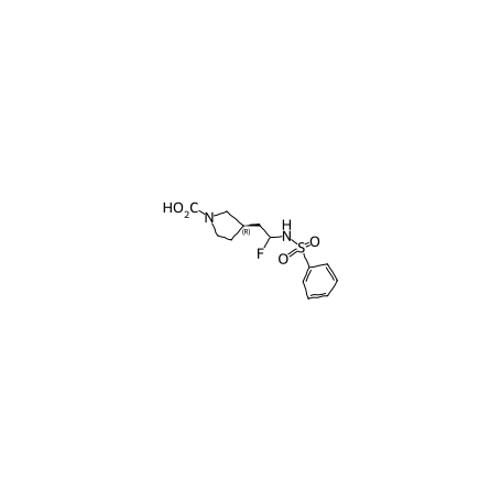 O=C(O)N1CC[C@H](CC(F)NS(=O)(=O)c2ccccc2)C1